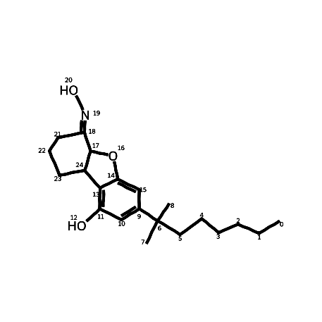 CCCCCCC(C)(C)c1cc(O)c2c(c1)OC1C(=NO)CCCC21